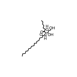 CCCCCCCCCCCCCCCC(=O)N[C@@H](C(=O)CCCCCC)[C@H](O)[C@H](O)CO